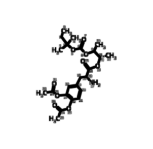 CCC(C)(C)OC(=O)OC(C)[C@H](C)OC(=O)[C@@H](N)Cc1ccc(OC(C)=O)c(OC(C)=O)c1